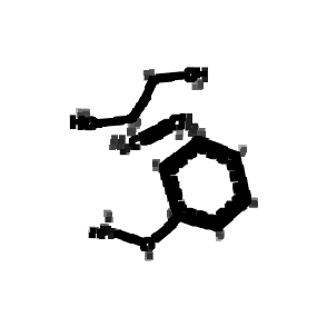 C=C.CCCOc1ccccc1.OCCO